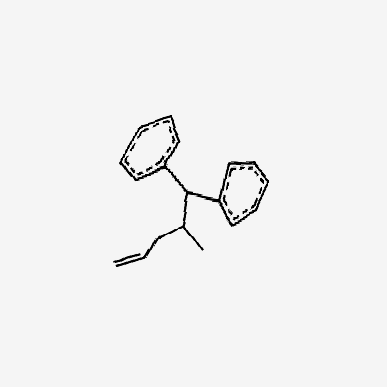 C=CCC(C)C(c1ccccc1)c1ccccc1